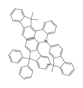 CC1(C)c2ccccc2-c2ccc(N(c3ccccc3-c3cccc4c3C(C)(C)c3ccccc3-4)c3cccc4c3-c3ccccc3C4(c3ccccc3)c3ccccc3)cc21